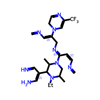 C=N/C=C\C(=N/C/C(=C/N=C)N1C=C(C(F)(F)F)N=CC1)N1CC(C)N(CC)C(/C(C=N)=C/N)C1C